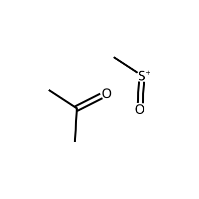 CC(C)=O.C[S+]=O